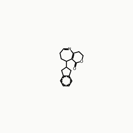 O=C1OCCC2=C1C(C1Cc3ccccc3C1)CCC=N2